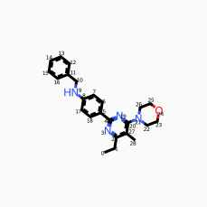 CCc1nc(-c2ccc(NCc3ccccc3)cc2)nc(N2CCOCC2)c1C